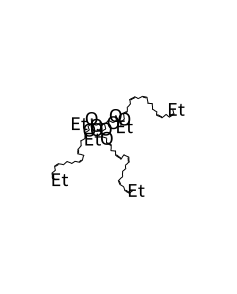 CC/C=C\C/C=C\CCCC/C=C\C/C=C\CCC=COC(CC)C(=O)OCC(COC(=O)C(CC)OC=CCC/C=C\C/C=C\CCCC/C=C\C/C=C\CC)OC(=O)C(CC)OC=CCC/C=C\C/C=C\CCCC/C=C\C/C=C\CC